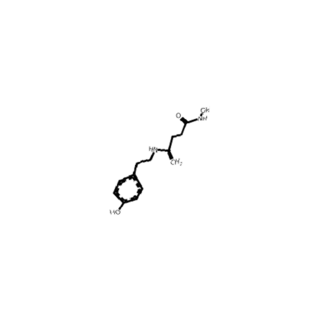 C=C(CCC(=O)NO)NCCc1ccc(O)cc1